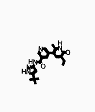 CCc1cc(-c2cncc(C(=O)Nc3cc(C(C)(C)C)[nH]n3)c2)c(C)[nH]c1=O